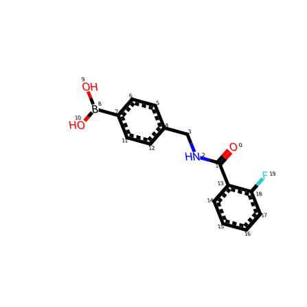 O=C(NCc1ccc(B(O)O)cc1)c1ccccc1F